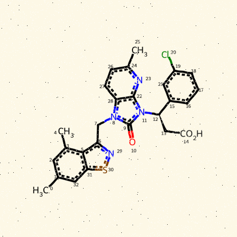 Cc1cc(C)c2c(Cn3c(=O)n([C@H](CC(=O)O)c4cccc(Cl)c4)c4nc(C)ccc43)nsc2c1